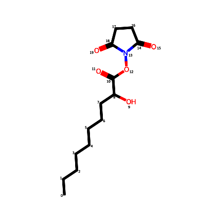 CCCCCCCCC(O)C(=O)ON1C(=O)CCC1=O